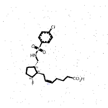 O=C(O)CCC/C=C\C[C@@H]1[C@@H](CNS(=O)(=O)c2ccc(Cl)cc2)CC[C@H]1F